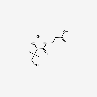 CC(C)(CO)[C@@H](O)C(=O)NCCC(=O)O.[KH]